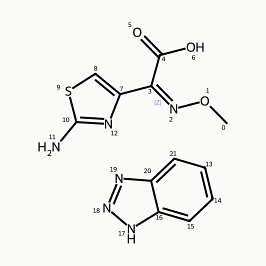 CO/N=C(\C(=O)O)c1csc(N)n1.c1ccc2[nH]nnc2c1